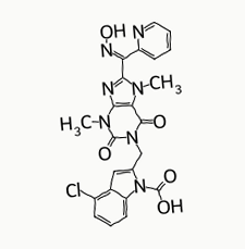 Cn1c(C(=NO)c2ccccn2)nc2c1c(=O)n(Cc1cc3c(Cl)cccc3n1C(=O)O)c(=O)n2C